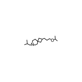 CC(C)CN1CCC2(CC1)CC(CCCOC(C)C)C2